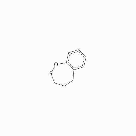 c1ccc2c(c1)CCCSO2